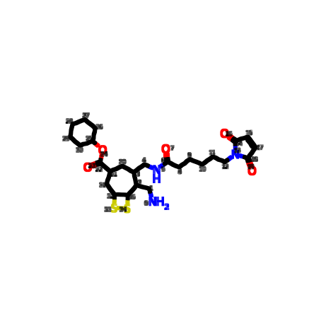 NCC1C(CNC(=O)CCCCCN2C(=O)C=CC2=O)CC(C(=O)OC2CCCCC2)CC2SSC21